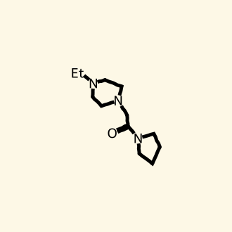 CCN1CCN(CC(=O)N2CCCC2)CC1